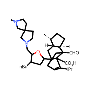 CCCCC1CC(C23C[C@@H]4[C@H](C)CC[C@H]4C4(C=O)CC2C=C(C(C)C)C34C(=O)O)OC1CN1CCC2(CCN(C)C2)C1